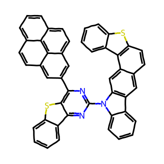 c1cc2ccc3cc(-c4nc(-n5c6ccccc6c6cc7ccc8sc9ccccc9c8c7cc65)nc5c4sc4ccccc45)cc4ccc(c1)c2c34